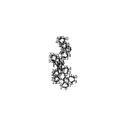 c1ccc(C2=C(c3ccccc3)c3cccc4c3c3c5c2cccc5ccc3n4-c2nc(-c3ccc4oc5cc6ccccc6cc5c4c3)c3ccccc3n2)cc1